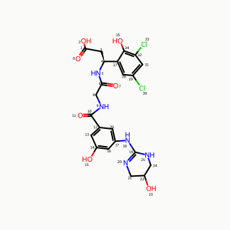 O=C(O)C[C@H](NC(=O)CNC(=O)c1cc(O)cc(NC2=NCC(O)CN2)c1)c1cc(Cl)cc(Cl)c1O